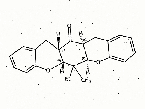 CCC1(C)[C@@H]2Oc3ccccc3C[C@@H]2C(=O)[C@H]2Cc3ccccc3O[C@H]21